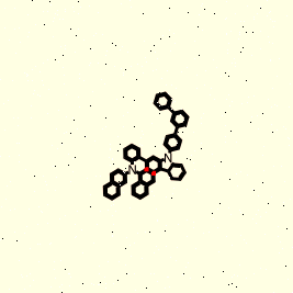 C1=CCC2C(=C1)N(c1ccc(-c3cccc(-c4ccccc4)c3)cc1)c1cc(-c3ccccc3N(c3ccc4ccccc4c3)c3cccc4ccccc34)ccc12